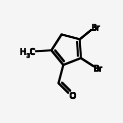 CC1=C(C=O)C(Br)=C(Br)C1